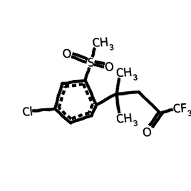 CC(C)(CC(=O)C(F)(F)F)c1ccc(Cl)cc1S(C)(=O)=O